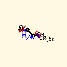 CCOC(=O)CS(C)(=O)=NC(=O)c1cnc(N)c(C#Cc2cccc(NC(=O)c3occc3C)c2)c1